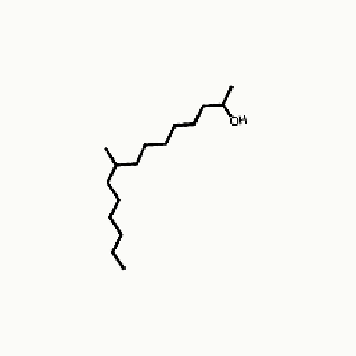 CCCCCCC(C)CCCCCCC(C)O